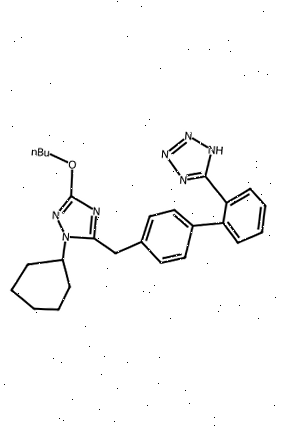 CCCCOc1nc(Cc2ccc(-c3ccccc3-c3nnn[nH]3)cc2)n(C2CCCCC2)n1